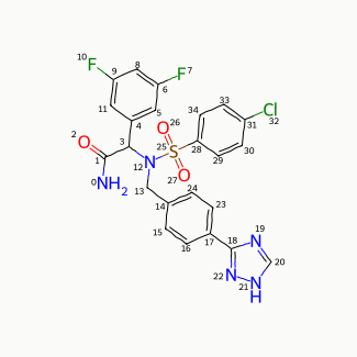 NC(=O)C(c1cc(F)cc(F)c1)N(Cc1ccc(-c2nc[nH]n2)cc1)S(=O)(=O)c1ccc(Cl)cc1